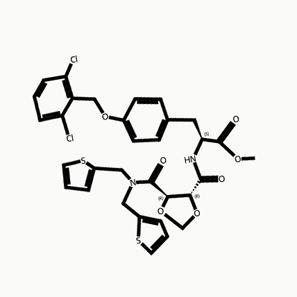 COC(=O)[C@H](Cc1ccc(OCc2c(Cl)cccc2Cl)cc1)NC(=O)[C@@H]1OCO[C@H]1C(=O)N(Cc1cccs1)Cc1cccs1